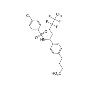 O=C(O)CCCc1ccc(C(CCC(F)(F)C(F)(F)C(F)(F)F)NS(=O)(=O)c2ccc(Cl)cc2)cc1